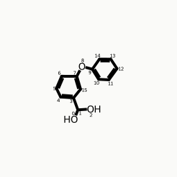 OC(O)c1cccc(Oc2ccccc2)c1